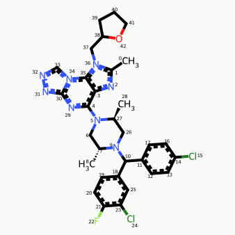 Cc1nc2c(N3C[C@@H](C)N(C(c4ccc(Cl)cc4)c4ccc(F)c(Cl)c4)C[C@@H]3C)nc3nncn3c2n1CC1CCCO1